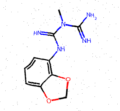 CN(C(=N)N)C(=N)Nc1cccc2c1OCO2